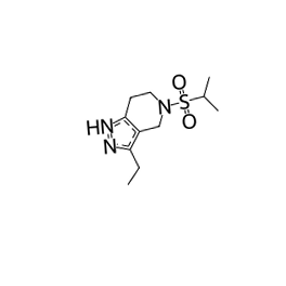 CCc1n[nH]c2c1CN(S(=O)(=O)C(C)C)CC2